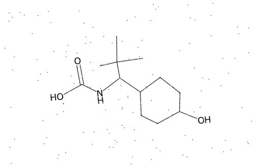 CC(C)(C)C(NC(=O)O)C1CCC(O)CC1